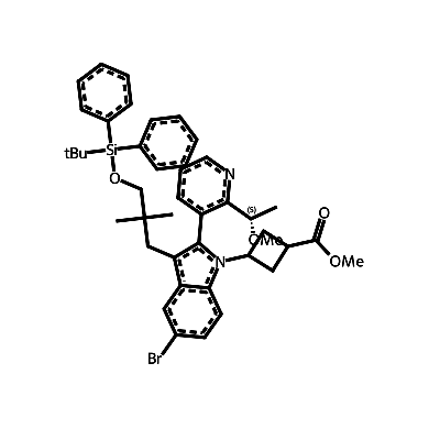 COC(=O)C1CC(n2c(-c3cccnc3[C@H](C)OC)c(CC(C)(C)CO[Si](c3ccccc3)(c3ccccc3)C(C)(C)C)c3cc(Br)ccc32)C1